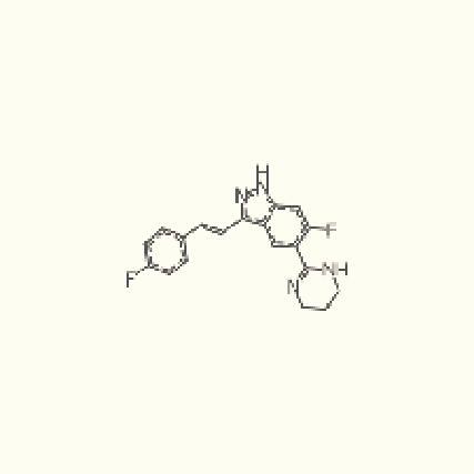 Fc1ccc(C=Cc2n[nH]c3cc(F)c(C4=NCCCN4)cc23)cc1